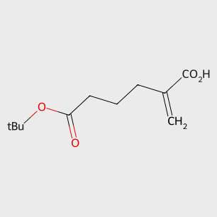 C=C(CCCC(=O)OC(C)(C)C)C(=O)O